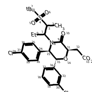 CCC(C(C)S(=O)(=O)C(C)(C)C)N1C(=O)[C@@H](CC(=O)O)O[C@H](c2cccc(Cl)c2)[C@H]1c1ccc(Cl)cc1